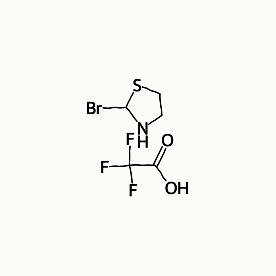 BrC1NCCS1.O=C(O)C(F)(F)F